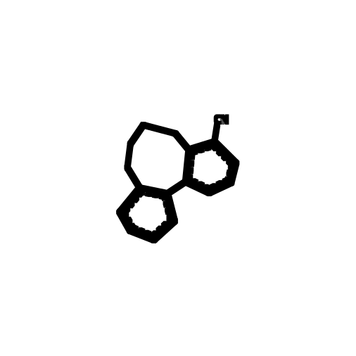 N#Cc1cccc2c1CCCCc1ccccc1-2